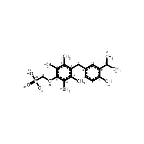 Bc1c(C)c(Cc2ccc(O)c(C(C)C)c2)c(C)c(B)c1OCP(=O)(O)O